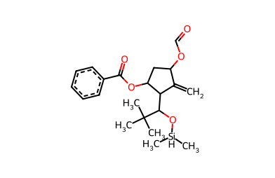 C=C1C(OC=O)CC(OC(=O)c2ccccc2)C1C(O[SiH](C)C)C(C)(C)C